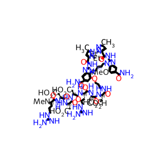 CCn1nc(C)cc1C(=O)Nc1nc2cc(C(N)=O)cc(OC)c2n1C/C=C/Cn1c(NC(=O)c2cc(C)nn2CC)nc2cc(C(N)=O)cc(OCCCNC(=O)[C@H](CC(=O)O)NC(=O)[C@H](CC(=O)O)NC(=O)[C@H](CCCNC(=N)N)NC(=O)[C@H](CC(=O)O)NC(=O)[C@H](CC(=O)O)NC(=O)[C@H](CC(=O)O)NC(=O)[C@H](CCCNC(=N)N)NC)c21